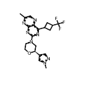 Cc1cnc2c(C3CC(C(F)(F)F)C3)nc(N3CCO[C@H](c4cnn(C)c4)C3)nc2n1